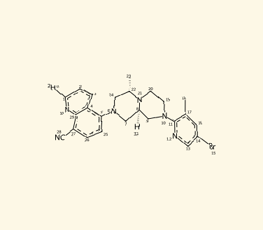 [2H]c1ccc2c(N3C[C@@H]4CN(c5ncc(Br)cc5C)CCN4[C@@H](C)C3)ccc(C#N)c2n1